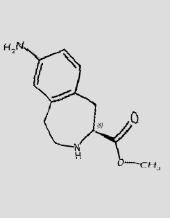 COC(=O)[C@@H]1Cc2ccc(N)cc2CCN1